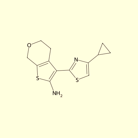 Nc1sc2c(c1-c1nc(C3CC3)cs1)CCOC2